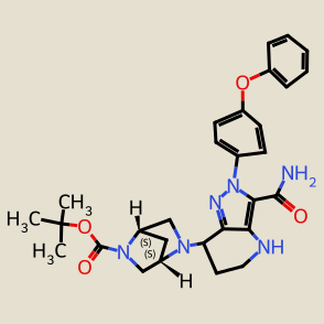 CC(C)(C)OC(=O)N1C[C@@H]2C[C@H]1CN2C1CCNc2c1nn(-c1ccc(Oc3ccccc3)cc1)c2C(N)=O